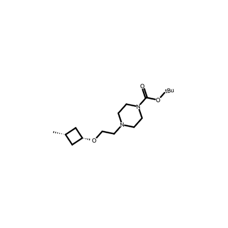 CC(C)(C)OC(=O)N1CCN(CCO[C@H]2C[C@@H](C)C2)CC1